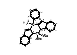 CCC[CH2][Ti]1([CH2]CCC)[CH]2C(=Cc3ccccc32)[Si](C)(c2ccccc2)C2=Cc3ccccc3[CH]21